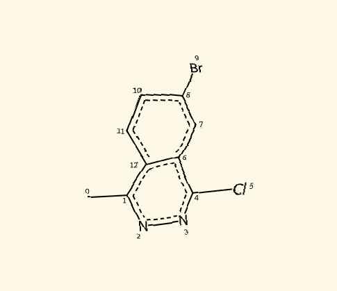 Cc1nnc(Cl)c2cc(Br)ccc12